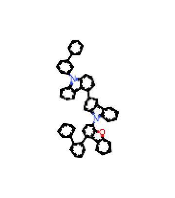 c1ccc(-c2cccc(-n3c4ccccc4c4c(-c5ccc6c(c5)c5ccccc5n6-c5ccc(-c6ccccc6-c6ccccc6)c6c5oc5ccccc56)cccc43)c2)cc1